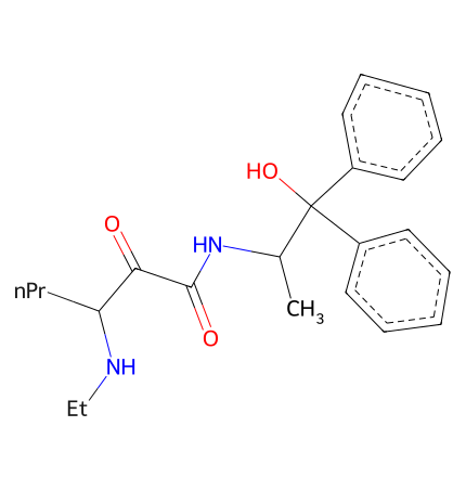 CCCC(NCC)C(=O)C(=O)NC(C)C(O)(c1ccccc1)c1ccccc1